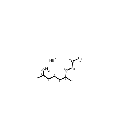 Br.CC(N)CCCC(C)SC[O][Sn]